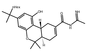 CCCCCCC(C)(C)c1cc(O)c2c(c1)OC(C)(C)[C@@H]1CC=C(C(=O)NC(C)=N)C[C@@H]21